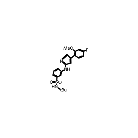 COc1cc(F)ccc1-c1ccnc(Nc2cccc(S(=O)(=O)NC(C)(C)C)c2)c1